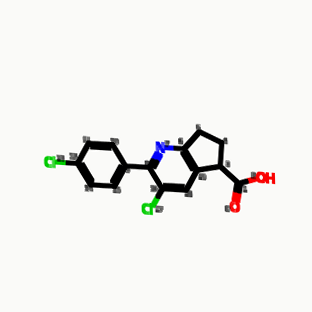 O=C(O)C1CCc2nc(-c3ccc(Cl)cc3)c(Cl)cc21